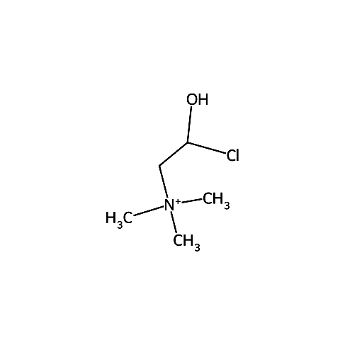 C[N+](C)(C)CC(O)Cl